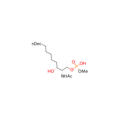 CCCCCCCCCCCCCCC[C@@H](O)[C@H](COP(=O)(O)OC)NC(C)=O